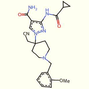 COc1ccccc1CN1CCC(CC#N)(n2cc(C(N)=O)c(NC(=O)C3CC3)n2)CC1